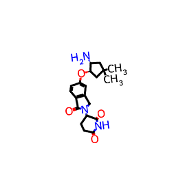 CC1(C)C[C@@H](N)[C@H](Oc2ccc3c(c2)CN(C2CCC(=O)NC2=O)C3=O)C1